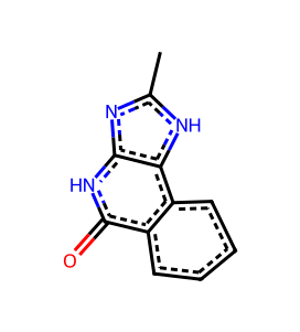 Cc1nc2[nH]c(=O)c3ccccc3c2[nH]1